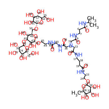 CC(C)NC(=O)CCNC(=O)CN(CC(=O)NCCCC(=O)NCCO[C@@H]1O[C@@H](C)[C@@H](O)[C@@H](O)[C@@H]1O)CC(=O)NCC(=O)NCCO[C@H]1O[C@H](CO[C@H]2O[C@H](CO)[C@@H](O)[C@H](O)[C@@H]2O)[C@@H](O)[C@H](O[C@H]2O[C@H](CO)[C@@H](O)[C@H](O)[C@@H]2O)[C@@H]1O